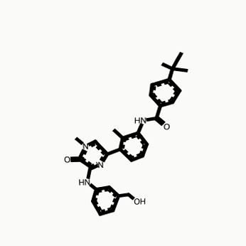 Cc1c(NC(=O)c2ccc(C(C)(C)C)cc2)cccc1-c1cn(C)c(=O)c(Nc2cccc(CO)c2)n1